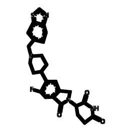 O=C1CCC(N2Cc3cc(C4CCN(Cc5ccc6ncsc6c5)CC4)c(F)cc3C2=O)C(=O)N1